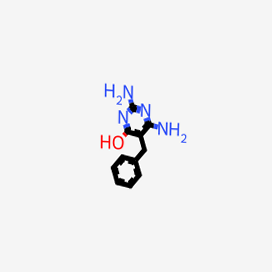 Nc1nc(N)c(Cc2ccccc2)c(O)n1